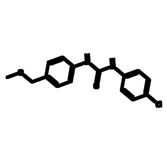 COCc1ccc(NC(=O)Nc2ccc(Cl)cc2)cc1